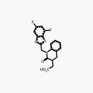 O=C(O)CC1Cc2ccccc2N(Cc2nc3cc(F)cc(F)c3s2)C1=O